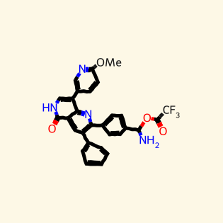 COc1ccc(-c2c[nH]c(=O)c3cc(-c4ccccc4)c(-c4ccc(C(N)OC(=O)C(F)(F)F)cc4)nc23)cn1